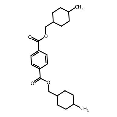 CC1CCC(COC(=O)c2ccc(C(=O)OCC3CCC(C)CC3)cc2)CC1